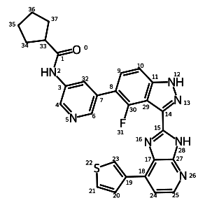 O=C(Nc1cncc(-c2ccc3[nH]nc(-c4nc5c(-c6ccsc6)ccnc5[nH]4)c3c2F)c1)C1CCCC1